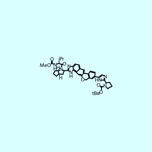 COC(=O)N[C@H](C(=O)N1C(c2nc3ccc4cc5c(cc4c3[nH]2)OCc2cc(-c3cnc(C4CCCN4C(=O)OC(C)(C)C)[nH]3)ccc2-5)C[C@@H]2CCC[C@@H]21)C(C)C